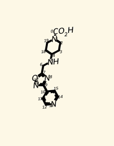 O=C(O)N1CCC(NCc2nc(-c3ccncc3)no2)CC1